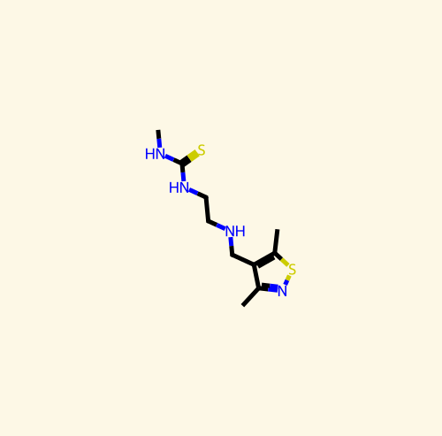 CNC(=S)NCCNCc1c(C)nsc1C